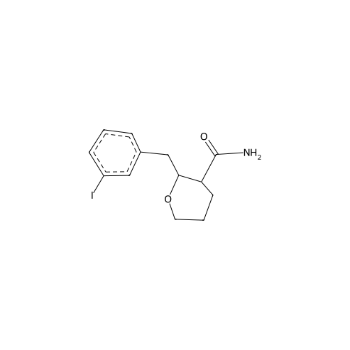 NC(=O)C1CCCOC1Cc1cccc(I)c1